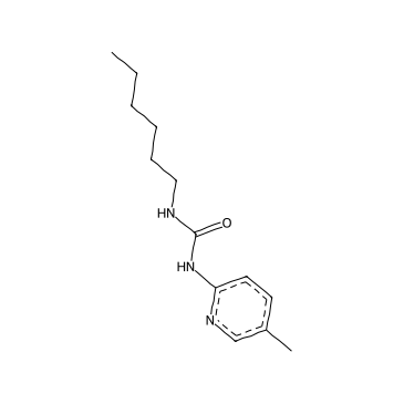 CCCCCCNC(=O)Nc1ccc(C)cn1